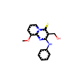 COc1cccn2c(=S)c(CO)c(Nc3ccccc3)nc12